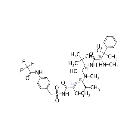 CN[C@H](C(=O)N[C@H](C(O)N(C)[C@H](/C=C(\C)C(=O)NS(=O)(=O)Cc1ccc(NC(=O)C(F)(F)F)cc1)C(C)C)C(C)(C)C)C(C)(C)c1ccccc1